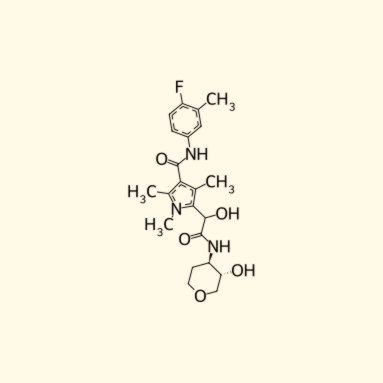 Cc1cc(NC(=O)c2c(C)c(C(O)C(=O)N[C@@H]3CCOC[C@H]3O)n(C)c2C)ccc1F